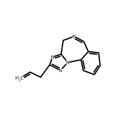 C=CCc1nc2n(n1)-c1ccccc1C=NC2